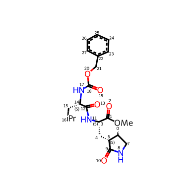 COC(=O)[C@H](C[C@@H]1CCNC1=O)NC(=O)[C@H](CC(C)C)NC(=O)OCc1ccccc1